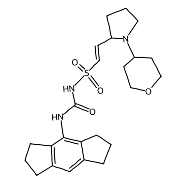 O=C(Nc1c2c(cc3c1CCC3)CCC2)NS(=O)(=O)/C=C/C1CCCN1C1CCOCC1